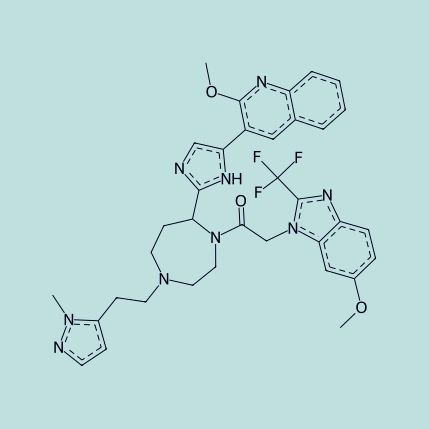 COc1ccc2nc(C(F)(F)F)n(CC(=O)N3CCN(CCc4ccnn4C)CCC3c3ncc(-c4cc5ccccc5nc4OC)[nH]3)c2c1